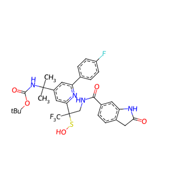 CC(C)(C)OC(=O)NC(C)(C)c1cc(-c2ccc(F)cc2)nc(C(CNC(=O)c2ccc3c(c2)NC(=O)C3)(SO)C(F)(F)F)c1